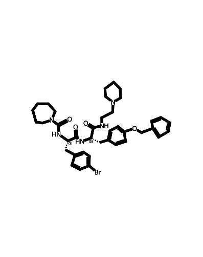 O=C(NCCN1CCCCC1)[C@H](Cc1ccc(OCc2ccccc2)cc1)NC(=O)[C@H](Cc1ccc(Br)cc1)NC(=O)N1CCCCCC1